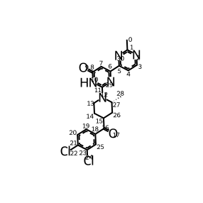 Cc1nccc(-c2cc(=O)[nH]c(N3CCC(C(=O)c4ccc(Cl)c(Cl)c4)C[C@H]3C)n2)n1